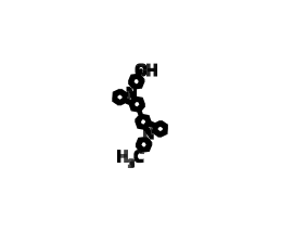 Cc1ccc(-n2c3ccccc3c3cc(-c4ccc5c(c4)c4ccccc4n5-c4ccc(O)cc4)ccc32)cc1